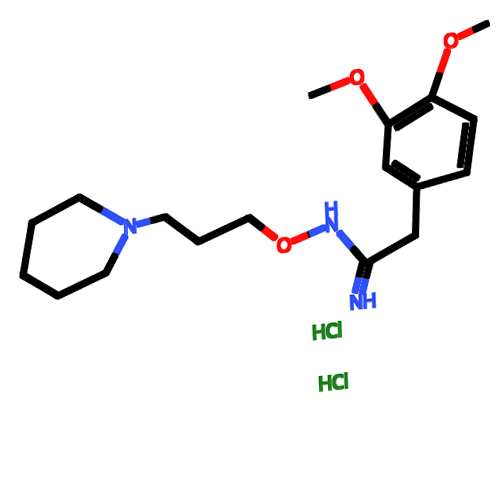 COc1ccc(CC(=N)NOCCCN2CCCCC2)cc1OC.Cl.Cl